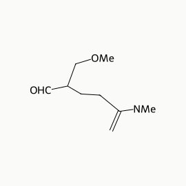 C=C(CCC(C=O)COC)NC